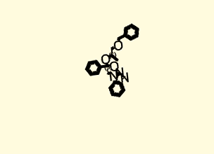 c1ccc(COC[C@H]2CO[C@@](Cn3nnc4ccccc43)(c3ccccc3)O2)cc1